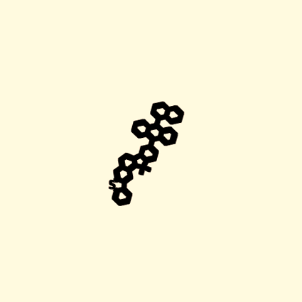 CC1(C)C2=CC=C(c3c4ccccc4c(C4=CC=CC5C=CC=CC45)c4ccccc34)CC2c2ccc3cc4sc5ccccc5c4cc3c21